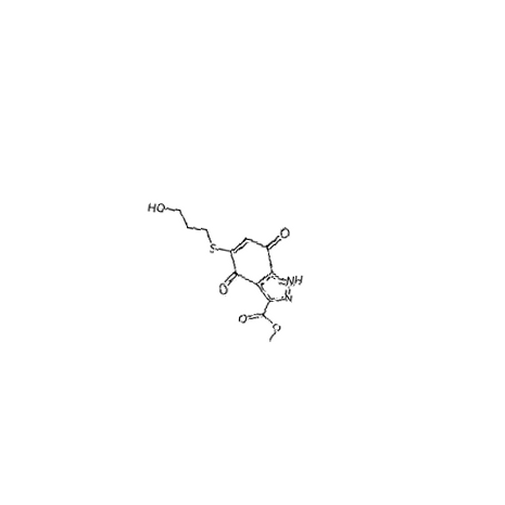 COC(=O)c1n[nH]c2c1C(=O)C(SCCCO)=CC2=O